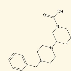 O=C(O)N1CCCC(N2CCN(Cc3ccccc3)CC2)C1